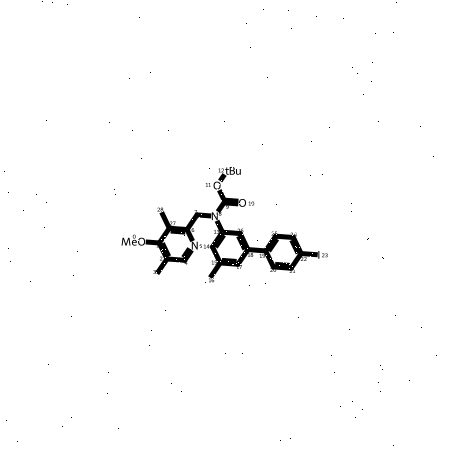 COc1c(C)cnc(CN(C(=O)OC(C)(C)C)c2cc(C)cc(-c3ccc(I)cc3)c2)c1C